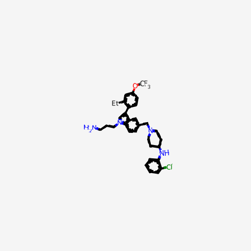 CCc1cc(OC(F)(F)F)ccc1-c1cn(CCCN)c2ccc(CN3CCC(Nc4ccccc4Cl)CC3)cc12